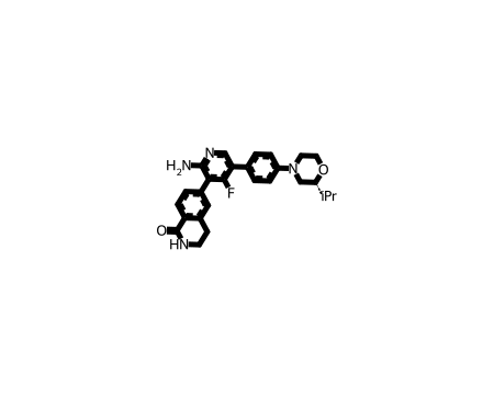 CC(C)[C@@H]1CN(c2ccc(-c3cnc(N)c(-c4ccc5c(c4)CCNC5=O)c3F)cc2)CCO1